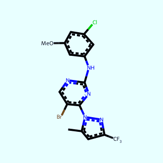 COc1cc(Cl)cc(Nc2ncc(Br)c(-n3nc(C(F)(F)F)cc3C)n2)c1